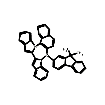 CC1(C)c2ccccc2-c2ccc(-p3c4ccc5ccccc5c4n4c5ccccc5cc4c4cc5ccccc5n43)cc21